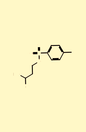 Cc1ccc(S(=O)(=O)OCCC(O)C(C)C)cc1